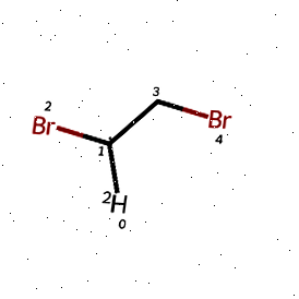 [2H][C](Br)CBr